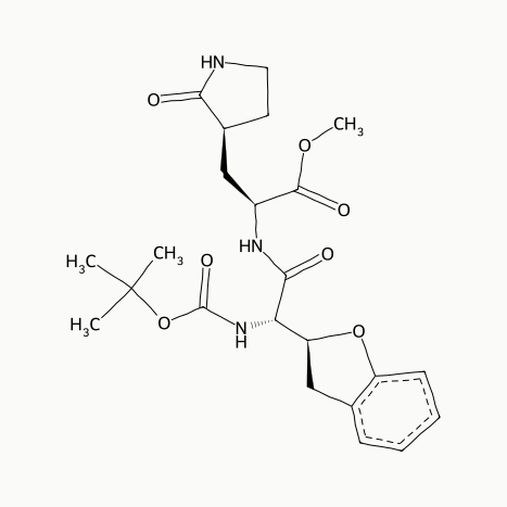 COC(=O)[C@H](C[C@@H]1CCNC1=O)NC(=O)[C@@H](NC(=O)OC(C)(C)C)[C@@H]1Cc2ccccc2O1